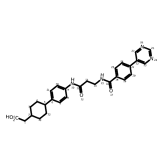 O=C(O)CC1CCC(c2ccc(NC(=O)CCNC(=O)c3ccc(-c4cncnc4)cc3)cc2)CC1